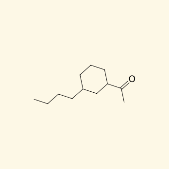 CCCCC1CCCC(C(C)=O)C1